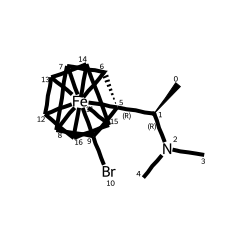 C[C@@H](N(C)C)[C@@]12[CH]3[CH]4[CH]5[C]1(Br)[Fe]45321678[CH]2[CH]1[CH]6[CH]7[CH]28